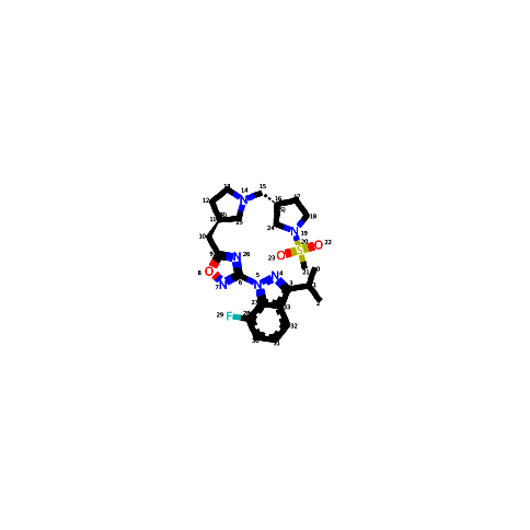 CC(C)c1nn(-c2noc(C[C@H]3CCN(C[C@@H]4CCN(S(C)(=O)=O)C4)C3)n2)c2c(F)cccc12